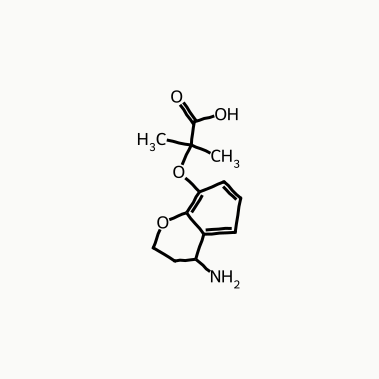 CC(C)(Oc1cccc2c1OCCC2N)C(=O)O